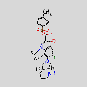 Cc1ccc(S(=O)(=O)OC(=O)c2cn(C3CC3)c3c(C#N)c(N4C[C@@H]5CCCN[C@@H]5C4)c(F)cc3c2=O)cc1